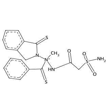 C[N+](NC(=O)CS(N)(=O)=O)(C(=S)c1ccccc1)N1Cc2ccccc2C1=S